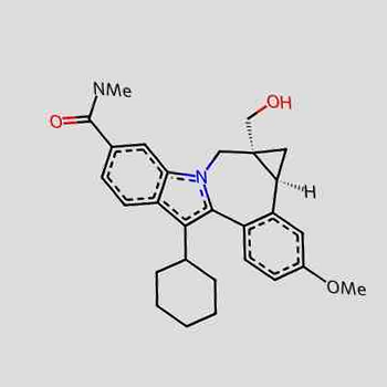 CNC(=O)c1ccc2c(C3CCCCC3)c3n(c2c1)C[C@@]1(CO)C[C@H]1c1cc(OC)ccc1-3